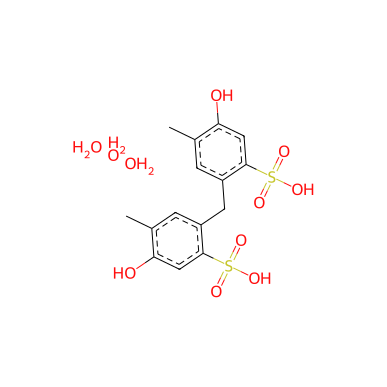 Cc1cc(Cc2cc(C)c(O)cc2S(=O)(=O)O)c(S(=O)(=O)O)cc1O.O.O.O